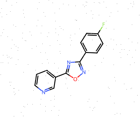 Fc1ccc(-c2noc(-c3cccnc3)n2)cc1